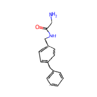 NCC(=O)NCc1ccc(-c2c[c]ccc2)cc1